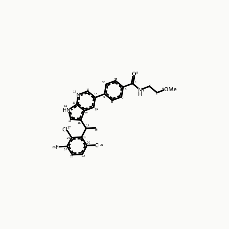 COCCNC(=O)c1ccc(-c2cnc3[nH]cc(C(C)c4c(Cl)ccc(F)c4Cl)c3c2)cc1